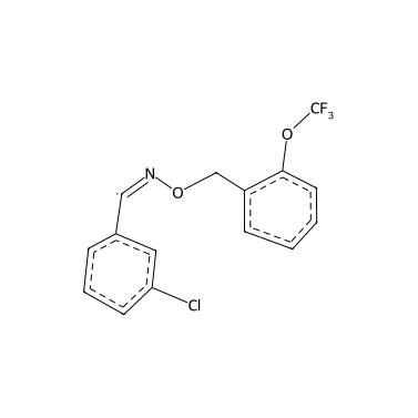 FC(F)(F)Oc1ccccc1CO/N=[C]\c1cccc(Cl)c1